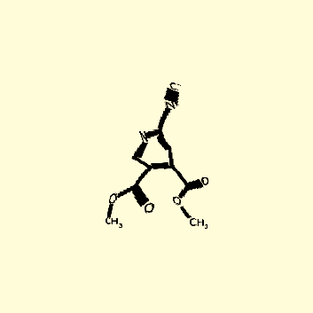 [C-]#[N+]c1cc(C(=O)OC)c(C(=O)OC)cn1